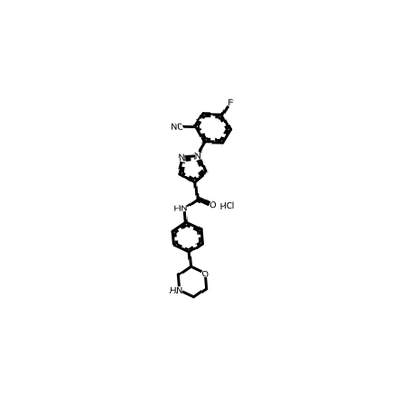 Cl.N#Cc1cc(F)ccc1-n1cc(C(=O)Nc2ccc(C3CNCCO3)cc2)cn1